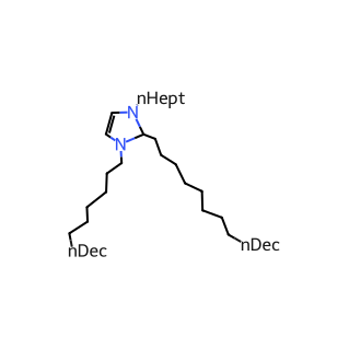 CCCCCCCCCCCCCCCCCCC1N(CCCCCCC)C=CN1CCCCCCCCCCCCCCCC